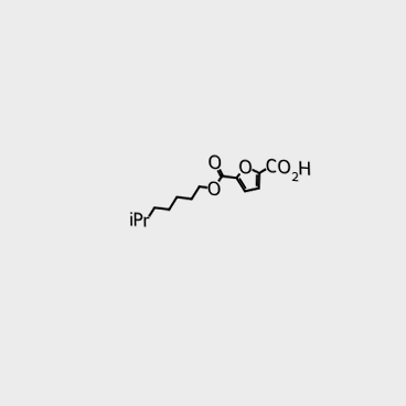 CC(C)CCCCCOC(=O)c1ccc(C(=O)O)o1